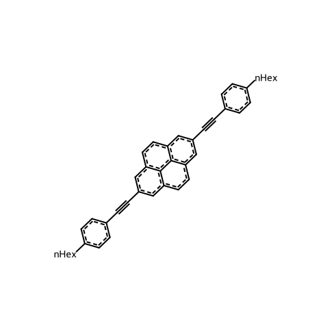 CCCCCCc1ccc(C#Cc2cc3ccc4cc(C#Cc5ccc(CCCCCC)cc5)cc5ccc(c2)c3c45)cc1